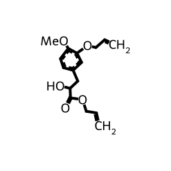 C=CCOC(=O)C(O)Cc1ccc(OC)c(OCC=C)c1